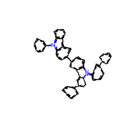 C1=C(c2ccccc2)C=C2c3cc(-c4ccc5c(c4)c4ccccc4n5-c4ccccc4)ccc3N(c3cccc(-c4ccccc4)c3)C2C1